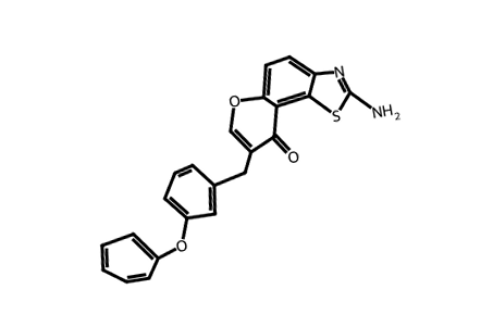 Nc1nc2ccc3occ(Cc4cccc(Oc5ccccc5)c4)c(=O)c3c2s1